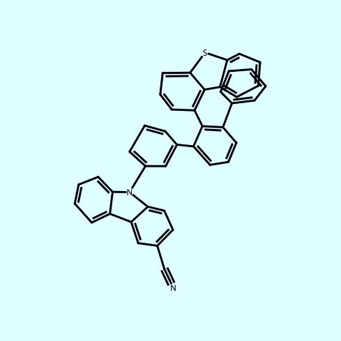 N#Cc1ccc2c(c1)c1ccccc1n2-c1cccc(-c2cccc(-c3ccccc3)c2-c2cccc3sc4ccccc4c23)c1